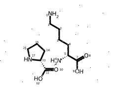 NCCCC[C@@H](N)C(=O)O.O=C(O)[C@H]1CCCN1